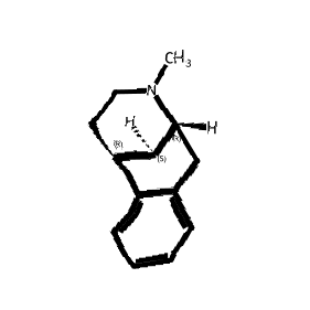 CN1CC[C@]23CCCC[C@@H]2[C@H]1Cc1ccccc13